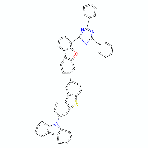 c1ccc(-c2nc(-c3ccccc3)nc(-c3cccc4c3oc3cc(-c5ccc6sc7cc(-n8c9ccccc9c9ccccc98)ccc7c6c5)ccc34)n2)cc1